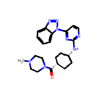 CN1CCN(C(=O)[C@H]2CC[C@@H](Nc3nccc(-n4nnc5ccccc54)n3)CC2)CC1